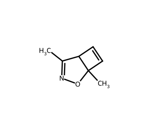 CC1=NOC2(C)C=CC12